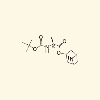 C[C@H](NC(=O)OC(C)(C)C)C(=O)OC1CC2CC(C1)N2I